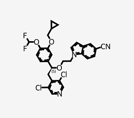 N#Cc1ccc2c(ccn2CCO[C@@H](Cc2c(Cl)cncc2Cl)c2ccc(OC(F)F)c(OCC3CC3)c2)c1